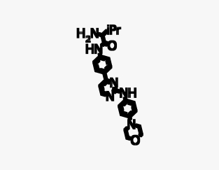 CC(C)C(N)C(=O)Nc1ccc(-c2ccnc(Nc3ccc(N4CCOCC4)cc3)n2)cc1